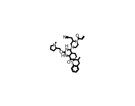 C=CC(=O)N1CCN(C2NC(OCC3CCCN3C)NC3C(=O)[C@@]4(CCC32)Sc2ccccc2CC4C)CC1CC#N